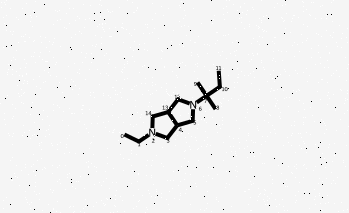 CCN1CC2CN(C(C)(C)CC)CC2C1